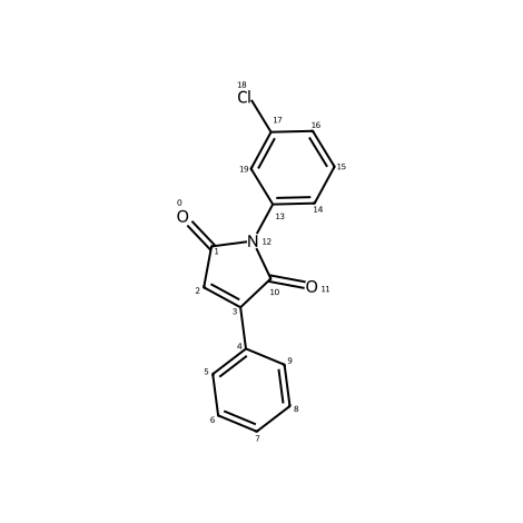 O=C1C=C(c2ccccc2)C(=O)N1c1cccc(Cl)c1